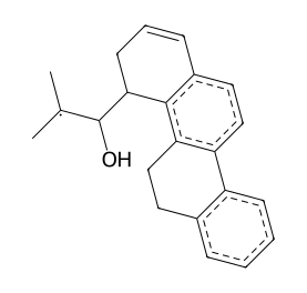 C[C](C)C(O)C1CC=Cc2ccc3c(c21)CCc1ccccc1-3